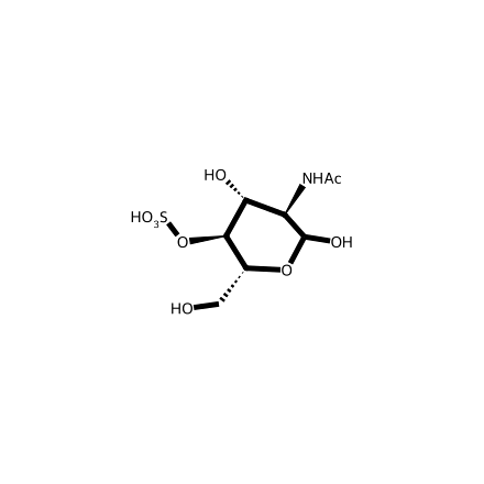 CC(=O)N[C@H]1C(O)O[C@H](CO)[C@@H](OS(=O)(=O)O)[C@@H]1O